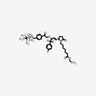 CCOC(=O)CCCCCCN1C(=O)CC[C@@H]1/C=C/[C@@H](OCC(=O)c1ccc(CO[Si](C)(C)C(C)(C)C)cc1)C(F)(F)c1ccc(I)cc1